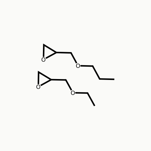 CCCOCC1CO1.CCOCC1CO1